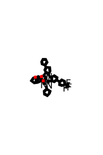 FC(F)(F)c1ccc(-c2ccc(-n3c4ccc(-c5ccccc5)cc4c4cc(-c5ccccc5)ccc43)c(-c3nc(-c4ccccc4)nc(-c4ccccc4)n3)c2)cc1